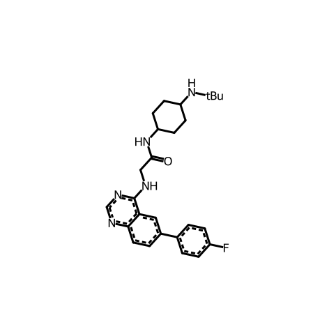 CC(C)(C)NC1CCC(NC(=O)CNc2ncnc3ccc(-c4ccc(F)cc4)cc23)CC1